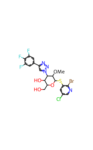 COC1C(Sc2cc(Cl)cnc2Br)OC(CO)C(O)C1n1cc(-c2cc(F)c(F)c(F)c2)nn1